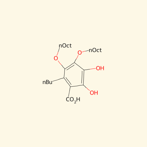 CCCCCCCCOc1c(O)c(O)c(C(=O)O)c(CCCC)c1OCCCCCCCC